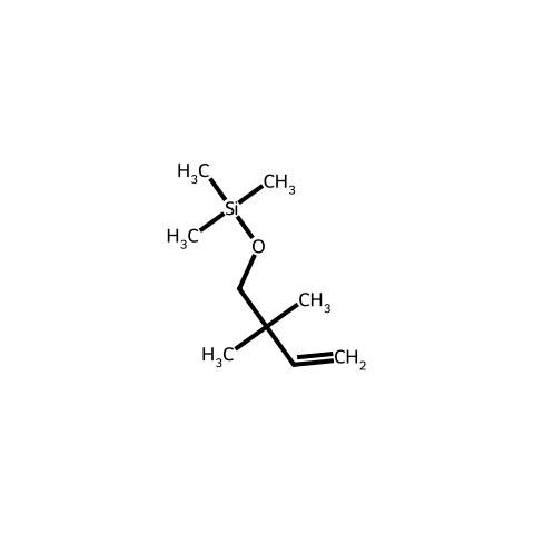 C=CC(C)(C)CO[Si](C)(C)C